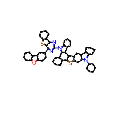 c1ccc(-n2c3ccccc3c3cc4c(cc32)sc2c3ccccc3c3c(c5ccccc5n3-c3nc(-c5ccc6oc7ccccc7c6c5)c5sc6ccccc6c5n3)c42)cc1